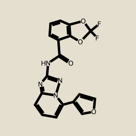 O=C(Nc1nc2cccc(-c3ccoc3)n2n1)c1cccc2c1OC(F)(F)O2